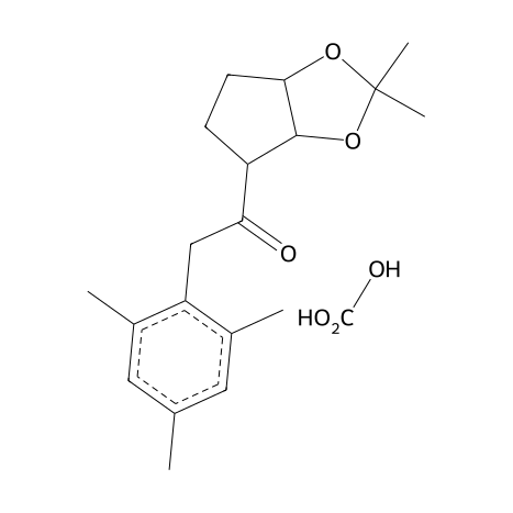 Cc1cc(C)c(CC(=O)C2CCC3OC(C)(C)OC32)c(C)c1.O=C(O)O